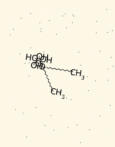 CCCCCCCCCCCCCCC(CCCCCCCCCCCC)OCC1OC(CO)C(O)C(O)C1O